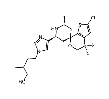 CC(CO)CCn1cc([C@@H]2C[C@]3(C[C@H](C)N2)OCC(F)(F)c2cc(Cl)sc23)nn1